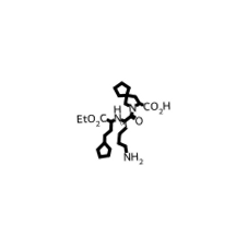 CCOC(=O)C(CCC1CCCC1)N[C@@H](CCCCN)C(=O)N1CC2(CCCC2)CC1C(=O)O